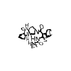 CCNC(=O)Nc1sc2ccccc2c1C(=O)N1CCC2(CC1)NC(=O)c1ccccc1N2